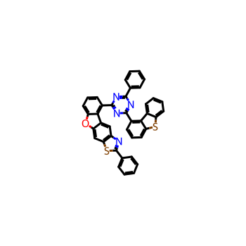 c1ccc(-c2nc(-c3cccc4oc5cc6sc(-c7ccccc7)nc6cc5c34)nc(-c3cccc4sc5ccccc5c34)n2)cc1